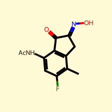 CC(=O)Nc1cc(F)c(C)c2c1C(=O)C(=NO)C2